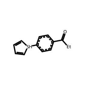 CCC(=O)c1ccc([SH]2C=CC=C2)cc1